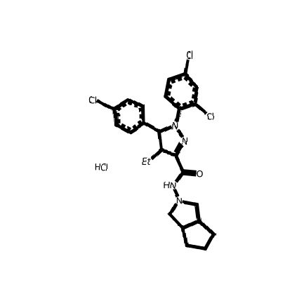 CCC1C(C(=O)NN2CC3CCCC3C2)=NN(c2ccc(Cl)cc2Cl)C1c1ccc(Cl)cc1.Cl